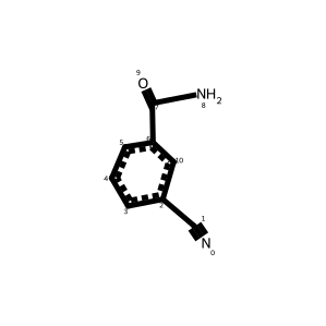 N#Cc1c[c]cc(C(N)=O)c1